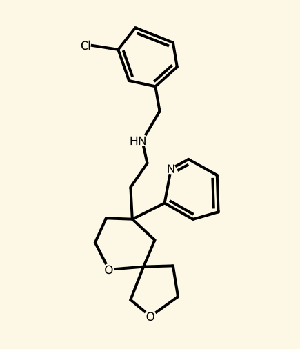 Clc1cccc(CNCCC2(c3ccccn3)CCOC3(CCOC3)C2)c1